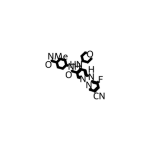 CNC(=O)C1CCC(NC(=O)c2cnc(Nc3ncc(C#N)cc3F)cc2NC2CCOCC2)CC1